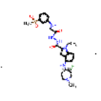 CN1CC[C@@H](Nc2cccc3c2cc(C(=O)NNC(=O)CNc2cccc(S(C)(=O)=O)c2)n3CC(F)(F)F)[C@@H](F)C1